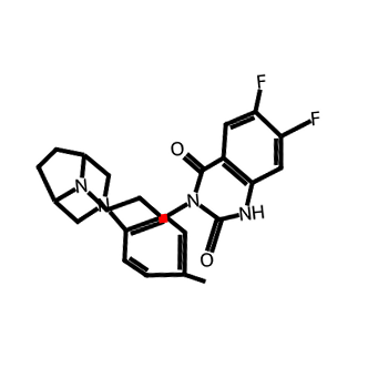 Cc1ccc(N2CC3CCC(C2)N3CCCn2c(=O)[nH]c3cc(F)c(F)cc3c2=O)cc1